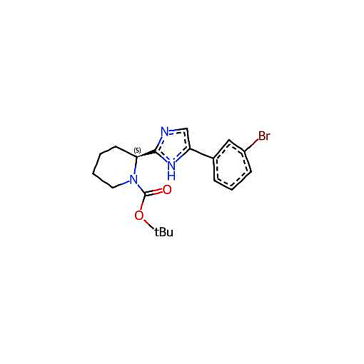 CC(C)(C)OC(=O)N1CCCC[C@H]1c1ncc(-c2cccc(Br)c2)[nH]1